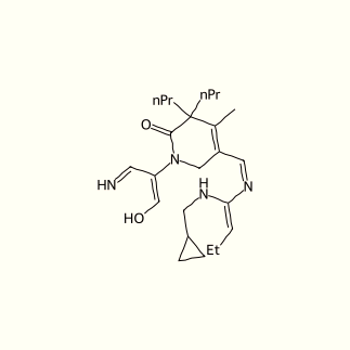 CC/C=C(/N=C\C1=C(C)C(CCC)(CCC)C(=O)N(/C(C=N)=C/O)C1)NCC1CC1